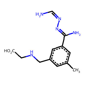 Cc1cc(CNCC(=O)O)cc(/C(N)=N/N=C\N)c1